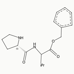 CC(C)C(NC(=O)[C@@H]1CCCN1)C(=O)OCc1ccccc1